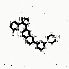 Cc1cccc(-c2[nH]cnc2-c2ccc3ncc(-c4cccc(N5CCNCC5)n4)cc3c2)n1